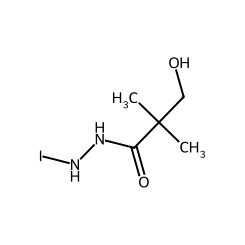 CC(C)(CO)C(=O)NNI